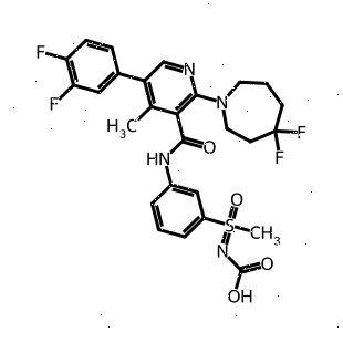 Cc1c(-c2ccc(F)c(F)c2)cnc(N2CCCC(F)(F)CC2)c1C(=O)Nc1cccc(S(C)(=O)=NC(=O)O)c1